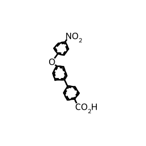 O=C(O)c1ccc(-c2ccc(Oc3ccc([N+](=O)[O-])cc3)cc2)cc1